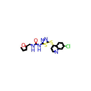 O=C(NCc1ccco1)Nc1nnc(Sc2ccnc3cc(Cl)ccc23)s1